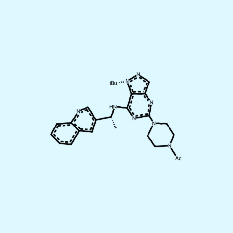 CC[C@@H](C)n1ncc2nc(N3CCN(C(C)=O)CC3)nc(N[C@H](C)c3cnc4ccccc4c3)c21